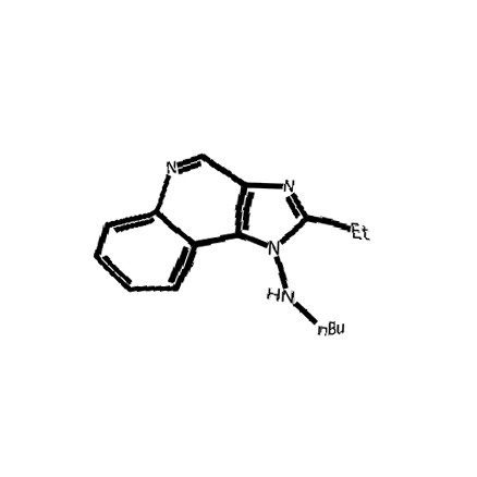 CCCCNn1c(CC)nc2cnc3ccccc3c21